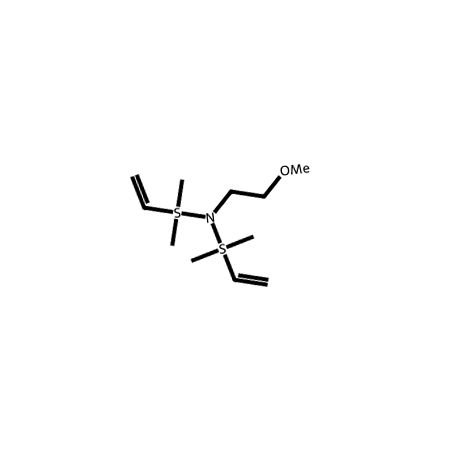 C=CS(C)(C)N(CCOC)S(C)(C)C=C